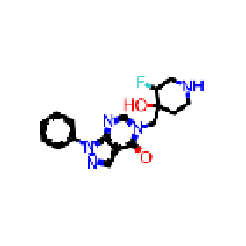 O=c1c2cnn(-c3ccccc3)c2ncn1CC1(O)CCNCC1F